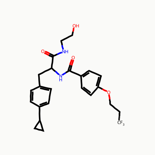 O=C(NC(Cc1ccc(C2CC2)cc1)C(=O)NCCO)c1ccc(OCCC(F)(F)F)cc1